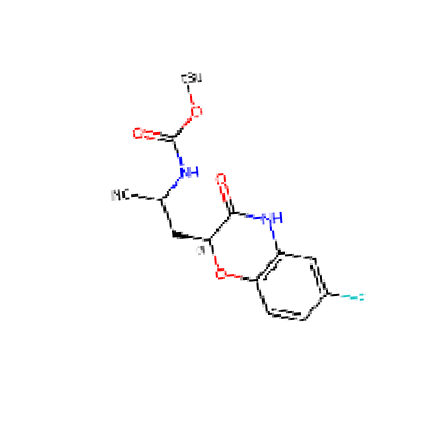 CC(C)(C)OC(=O)NC(C#N)C[C@@H]1Oc2ccc(F)cc2NC1=O